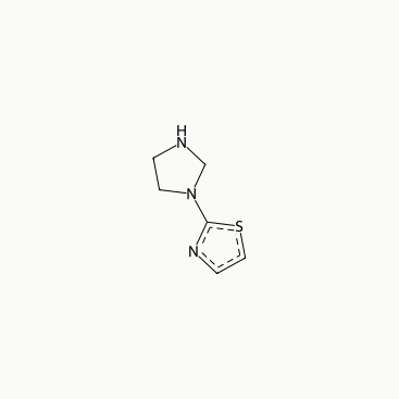 c1csc(N2CCNC2)n1